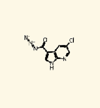 [N-]=[N+]=NC(=O)c1c[nH]c2ncc(Cl)cc12